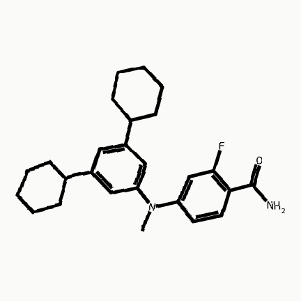 CN(c1cc(C2CCCCC2)cc(C2CCCCC2)c1)c1ccc(C(N)=O)c(F)c1